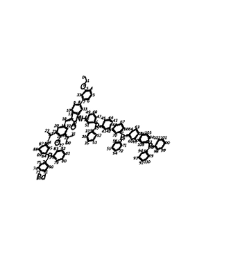 CCOc1cccc(-c2ccc3c(c2)NC(=O)C3=Cc2cc(C(C)C)c(OC)c(C(C)C)c2)c1.[Pd].c1ccc(P(c2ccccc2)c2ccccc2)cc1.c1ccc(P(c2ccccc2)c2ccccc2)cc1.c1ccc(P(c2ccccc2)c2ccccc2)cc1.c1ccc(P(c2ccccc2)c2ccccc2)cc1